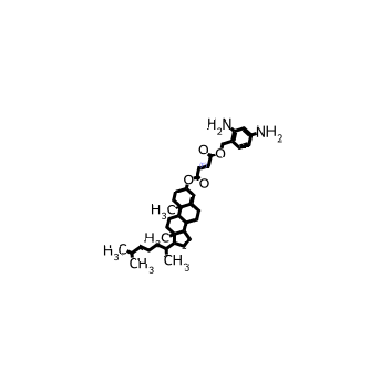 CC(C)CCCC(C)C1CCC2C3CCC4CC(OC(=O)/C=C/C(=O)OCc5ccc(N)cc5N)CCC4(C)C3CCC12C